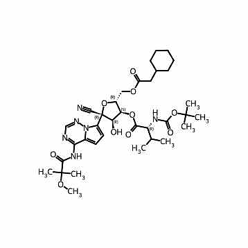 COC(C)(C)C(=O)Nc1ncnn2c([C@]3(C#N)O[C@H](COC(=O)CC4CCCCC4)[C@@H](OC(=O)[C@H](NC(=O)OC(C)(C)C)C(C)C)[C@H]3O)ccc12